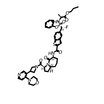 CCCOC(=O)[C@H](C)N[P@](=O)(Oc1ccccc1)[C@H](F)c1ccc2sc(C(=O)N[C@H]3CCC[C@H]4CC[C@@H](C(=O)N5CC(c6cnccc6N6CCOCC6)C5)N4C3=O)cc2c1